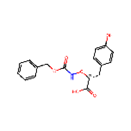 O=C(NO[C@H](Cc1ccc(O)cc1)C(=O)O)OCc1ccccc1